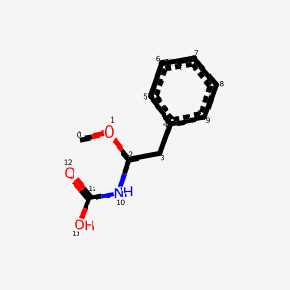 COC(Cc1ccccc1)NC(=O)O